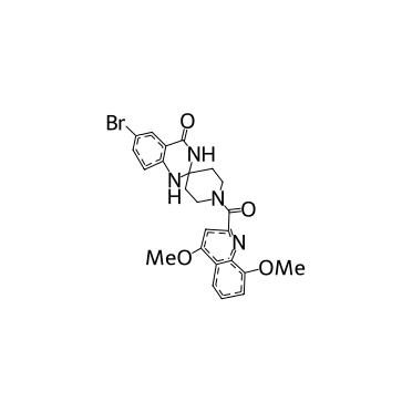 COc1cc(C(=O)N2CCC3(CC2)NC(=O)c2cc(Br)ccc2N3)nc2c(OC)cccc12